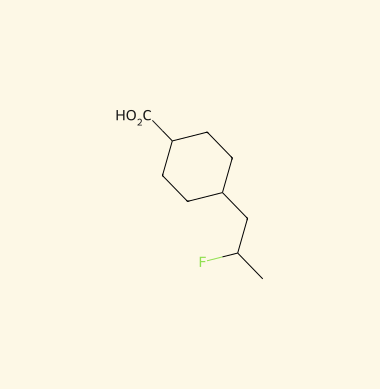 CC(F)CC1CCC(C(=O)O)CC1